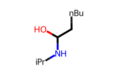 CCCCCC(O)NC(C)C